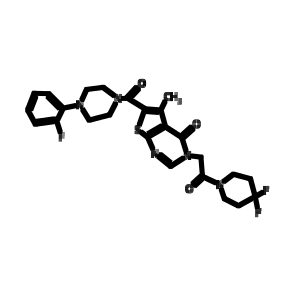 Cc1c(C(=O)N2CCN(c3ccccc3F)CC2)sc2ncn(CC(=O)N3CCC(F)(F)CC3)c(=O)c12